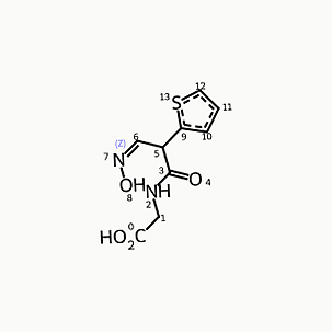 O=C(O)CNC(=O)C(/C=N\O)c1cccs1